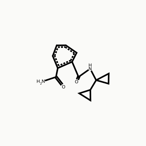 NC(=O)c1ccccc1C(=O)NC1(C2CC2)CC1